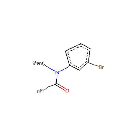 CCCC(=O)N(c1cccc(Br)c1)C(C)CCC